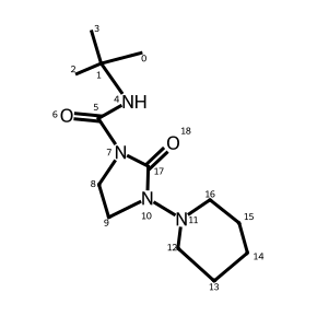 CC(C)(C)NC(=O)N1CCN(N2CCCCC2)C1=O